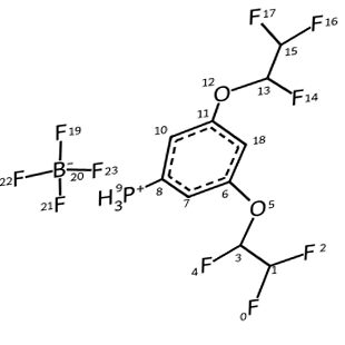 FC(F)C(F)Oc1cc([PH3+])cc(OC(F)C(F)F)c1.F[B-](F)(F)F